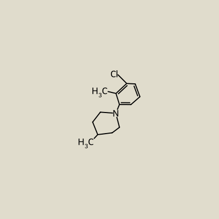 Cc1c(Cl)cccc1N1CCC(C)CC1